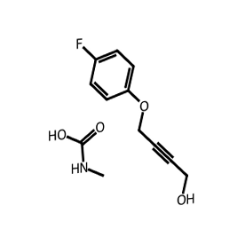 CNC(=O)O.OCC#CCOc1ccc(F)cc1